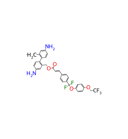 [CH2]c1cc(N)ccc1-c1ccc(N)cc1COC(=O)/C=C/c1ccc(C(F)(F)Oc2ccc(OCC(F)(F)F)cc2)cc1